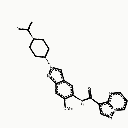 COc1cc2nn([C@H]3CC[C@H](C(C)I)CC3)cc2cc1NC(=O)c1cnn2cccnc12